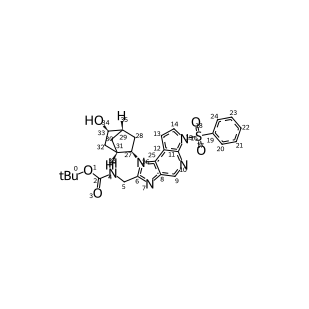 CC(C)(C)OC(=O)NCc1nc2cnc3c(ccn3S(=O)(=O)c3ccccc3)c2n1[C@@H]1C[C@@H]2C[C@H]1C[C@H]2O